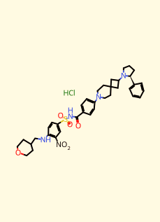 Cl.O=C(NS(=O)(=O)c1ccc(NCC2CCOCC2)c([N+](=O)[O-])c1)c1ccc(N2CCC3(CC2)CC(N2CCC[C@H]2c2ccccc2)C3)cc1